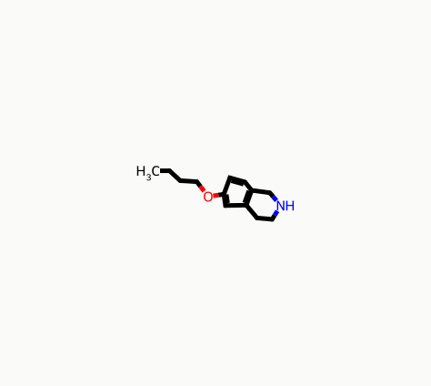 CCCCOc1ccc2c(c1)CCNC2